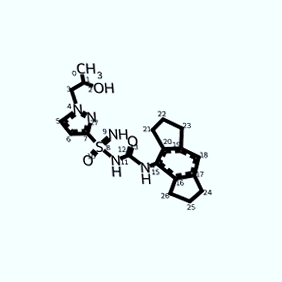 CC(O)Cn1ccc(S(=N)(=O)NC(=O)Nc2c3c(cc4c2CCC4)CCC3)n1